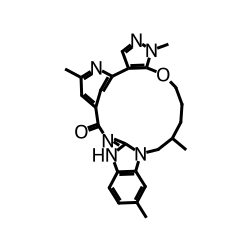 Cc1ccc2c(c1)N1CC(C)CCCOc3c(cnn3C)-c3cc(cc(C)n3)C(=O)/N=C/1N2